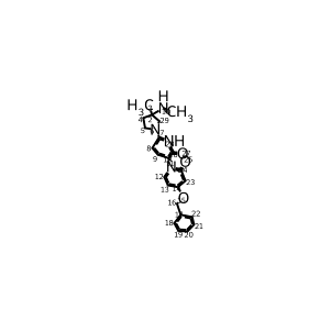 CNC1(C)CCN(c2ccc(-n3ccc(OCc4ccccc4)cc3=O)c(=O)[nH]2)C1